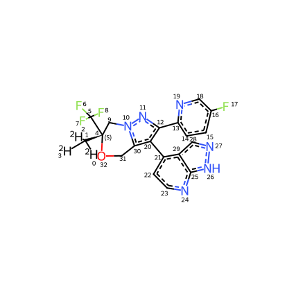 [2H]C([2H])([2H])[C@@]1(C(F)(F)F)Cn2nc(-c3ccc(F)cn3)c(-c3ccnc4[nH]ncc34)c2CO1